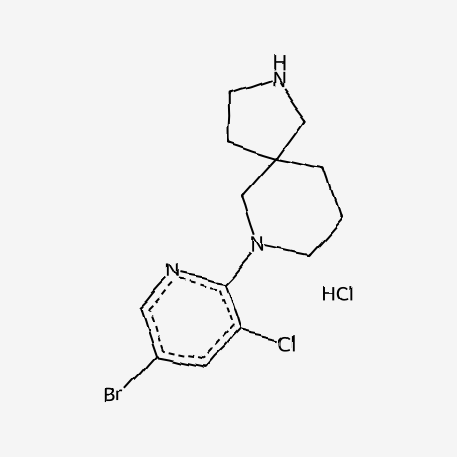 Cl.Clc1cc(Br)cnc1N1CCCC2(CCNC2)C1